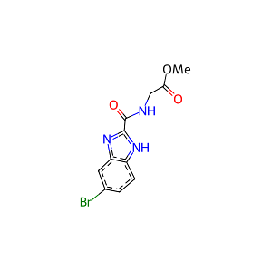 COC(=O)CNC(=O)c1nc2cc(Br)ccc2[nH]1